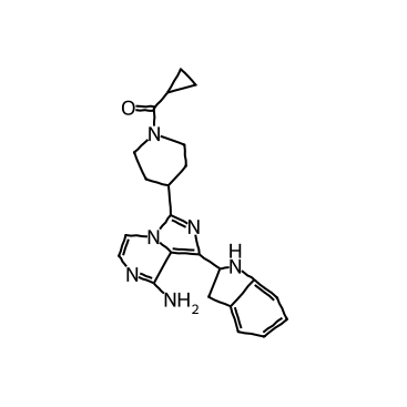 Nc1nccn2c(C3CCN(C(=O)C4CC4)CC3)nc(C3Cc4ccccc4N3)c12